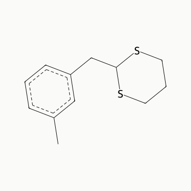 Cc1cccc(CC2SCCCS2)c1